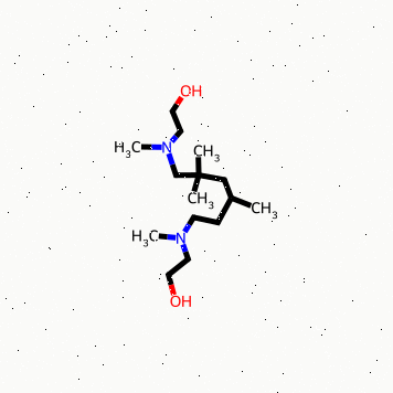 CC(CCN(C)CCO)CC(C)(C)CN(C)CCO